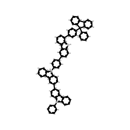 c1ccc(-n2c3ccccc3c3cc(-c4ccc5c(c4)c4ccccc4n5-c4ccc(-c5ccc6oc7c(-c8ccc(C9(c%10ccccc%10)c%10ccccc%10-c%10ccccc%109)cc8)cccc7c6c5)cc4)ccc32)cc1